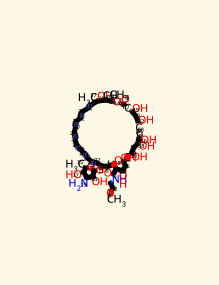 COCCNC(=O)C1[C@@H]2CC(O[C@@H]3O[C@H](C)[C@@H](O)[C@H](N)[C@@H]3O)/C=C/C=C/C=C/C=C/C=C/C=C/C=C/[C@H](C)C(O)[C@@H](C)[C@H](C)OC(=O)CC(O)CC(O)CCC(O)C(O)C[C@H](O)CC(O)(C[C@@H]1O)O2